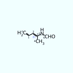 C=C/C=C(\C)NC=O